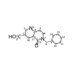 O=C(O)c1cnc2ccn(Cc3ccccc3)c(=O)c2c1